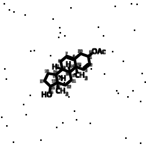 CC(=O)OC1C=C[C@@]2(C)C(=CC[C@@H]3[C@H]2CC[C@]2(C)C(O)CC[C@@H]32)C1